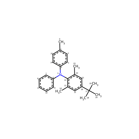 Cc1ccc(N(c2ccccc2)c2c(C)cc(C(C)(C)C)cc2C)cc1